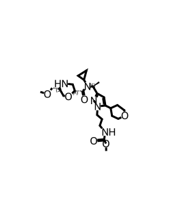 COC[C@H]1CO[C@@H](C(=O)N(C2CC2)[C@@H](C)c2cc(C3CCOCC3)n(CCCNC(=O)OC)n2)CN1